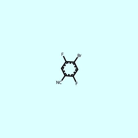 N#Cc1cc(F)c(Br)cc1F